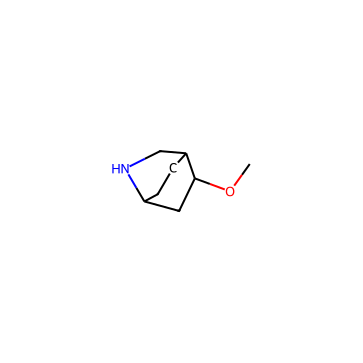 COC1CC2CCC1CN2